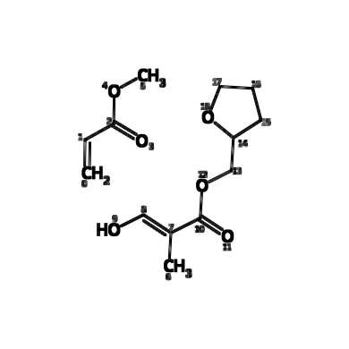 C=CC(=O)OC.CC(=CO)C(=O)OCC1CCCO1